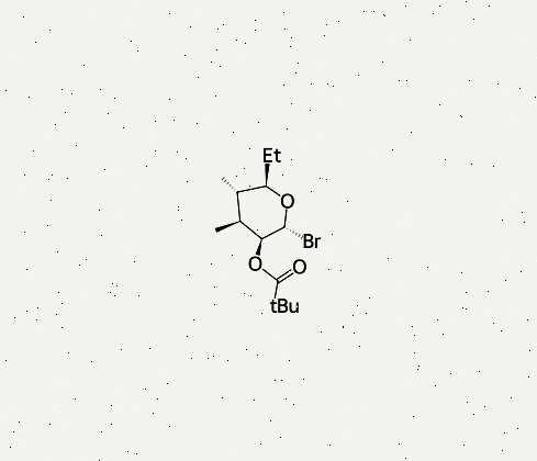 CC[C@H]1O[C@H](Br)[C@@H](OC(=O)C(C)(C)C)[C@@H](C)[C@@H]1C